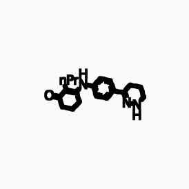 CCCC1=C(Nc2ccc(C3=NNCCC3)cc2)CCCC1=O